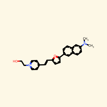 CN(C)c1ccc2cc(-c3ccc(/C=C/c4cc[n+](CCO)cc4)o3)ccc2c1